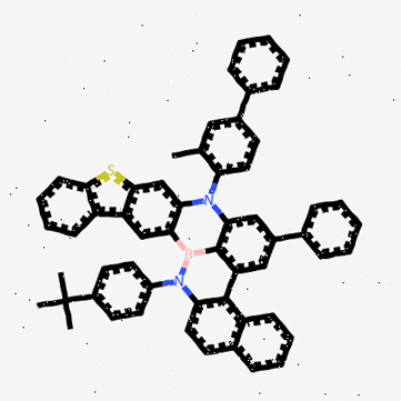 Cc1cc(-c2ccccc2)ccc1N1c2cc3sc4ccccc4c3cc2B2c3c(cc(-c4ccccc4)cc31)-c1c(ccc3ccccc13)N2c1ccc(C(C)(C)C)cc1